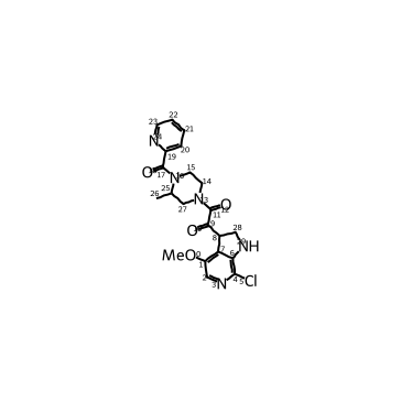 COc1cnc(Cl)c2c1C(C(=O)C(=O)N1CCN(C(=O)c3ccccn3)C(C)C1)CN2